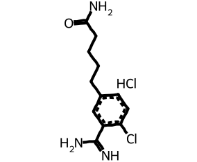 Cl.N=C(N)c1cc(CCCCC(N)=O)ccc1Cl